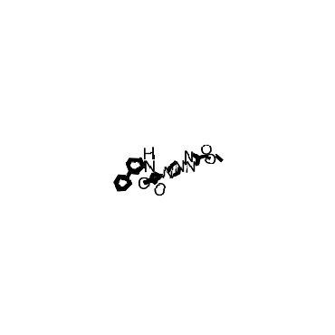 CCOC(=O)c1cnc(N2CCN(c3c(Nc4cccc(-c5ccccc5)c4)c(=O)c3=O)CC2)nc1